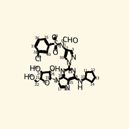 O=CN(c1cnn(-c2nc(NC3CCCC3)c3ncn([C@@H]4O[C@H](CO)C(O)C4O)c3n2)c1)S(=O)(=O)c1cccc(Cl)c1